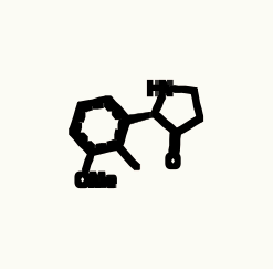 COc1cccc([C@H]2NCCC2=O)c1C